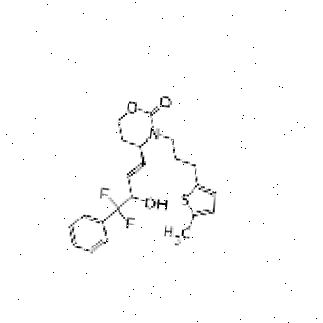 Cc1ccc(CCCN2C(=O)OCC[C@@H]2/C=C/C(O)C(F)(F)c2ccccc2)s1